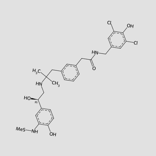 CSNc1cc([C@@H](O)CNC(C)(C)Cc2cccc(CC(=O)NCc3cc(Cl)c(O)c(Cl)c3)c2)ccc1O